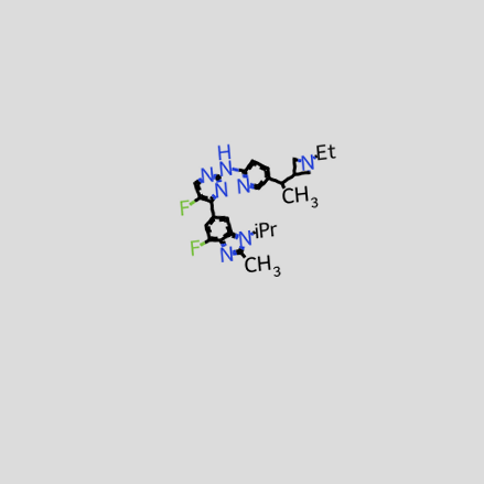 CCN1CC(C(C)c2ccc(Nc3ncc(F)c(-c4cc(F)c5nc(C)n(C(C)C)c5c4)n3)nc2)C1